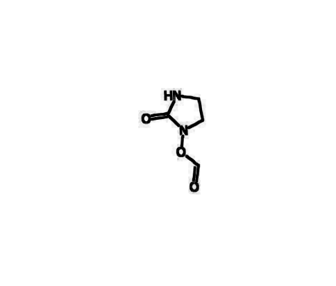 O=CON1CCNC1=O